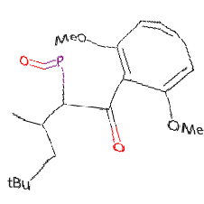 COc1cccc(OC)c1C(=O)C(P=O)C(C)CC(C)(C)C